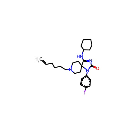 C=CCCCCN1CCC2(CC1)C(NC1CCCCC1)=NC(=O)N2c1ccc(I)cc1